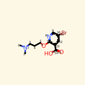 CN(C)CCCOc1ncc(Br)cc1C(=O)O